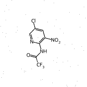 O=C(Nc1ncc(Cl)cc1[N+](=O)[O-])C(F)(F)F